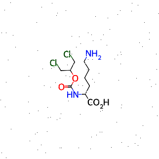 NCCCCC(NC(=O)OC(CCl)CCl)C(=O)O